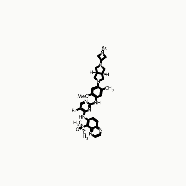 COc1cc(N2C[C@@H]3CN(C4CN(C(C)=O)C4)C[C@@H]3C2)c(C)cc1Nc1ncc(Br)c(Nc2ccc3nccnc3c2P(C)(C)=O)n1